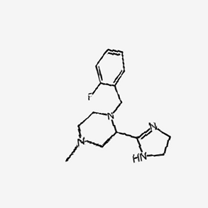 CN1CCN(Cc2ccccc2F)C(C2=NCCN2)C1